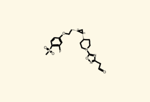 CS(=O)(=O)c1ccc(OCC[C@@H]2C[C@@H]2C2CCN(c3nc(CC=O)no3)CC2)cc1F